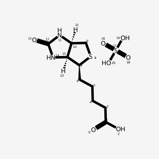 O=C(O)CCCC[C@@H]1SC[C@@H]2NC(=O)N[C@@H]21.O=S(=O)(O)O